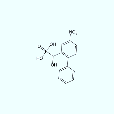 O=[N+]([O-])c1ccc(-c2ccccc2)c(C(O)P(=O)(O)O)c1